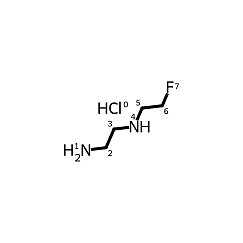 Cl.NCCNCCF